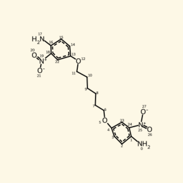 Nc1ccc(OCCCCCCOc2ccc(N)c([N+](=O)[O-])c2)cc1[N+](=O)[O-]